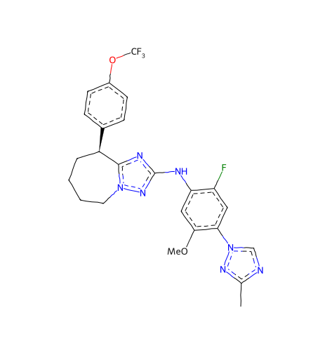 COc1cc(Nc2nc3n(n2)CCCC[C@H]3c2ccc(OC(F)(F)F)cc2)c(F)cc1-n1cnc(C)n1